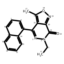 CCn1nc(-c2cccc3ccccc23)c2c(C)onc2c1=O